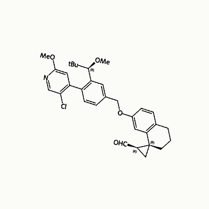 COc1cc(-c2ccc(COc3ccc4c(c3)[C@]3(CCC4)C[C@H]3C=O)cc2[C@H](OC)C(C)(C)C)c(Cl)cn1